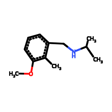 COc1cccc(CNC(C)C)c1C